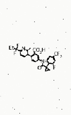 CCC(F)(F)C1=NC(C)C(c2ccc(NC(=O)C3(c4ccc(C(F)(F)F)cc4F)CC3)cc2C(=O)O)C=C1